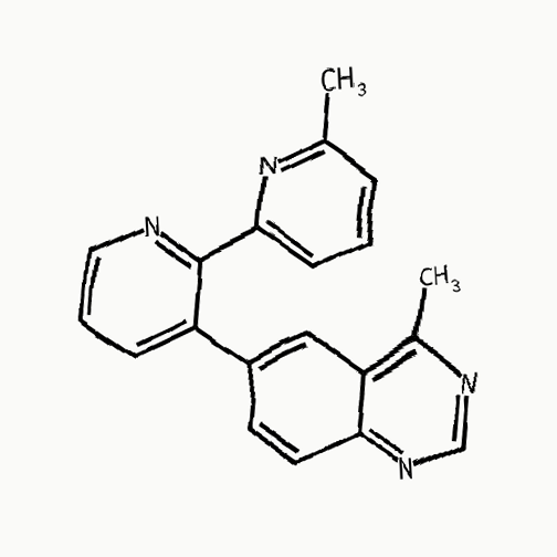 Cc1cccc(-c2ncccc2-c2ccc3ncnc(C)c3c2)n1